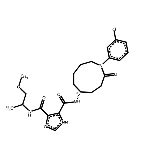 COCC(C)NC(=O)c1nc[nH]c1C(=O)N[C@@H]1CCCCN(c2cccc(Cl)c2)C(=O)CC1